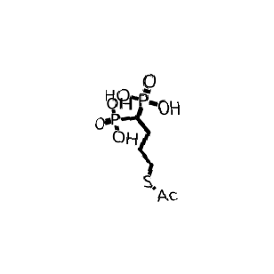 CC(=O)SCCCC(P(=O)(O)O)P(=O)(O)O